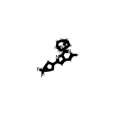 CC1=CC2=CC(C3CC4C(C3)C4(F)F)=NC2C(N2C3CC4CC2C(C3)O4)=N1